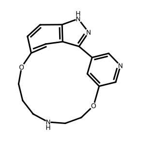 c1cc2[nH]nc3c2cc1OCCCNCCOc1cncc-3c1